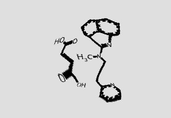 CN(CCc1ccccn1)C1=Nc2cccc3cccc1c23.O=C(O)C=CC(=O)O